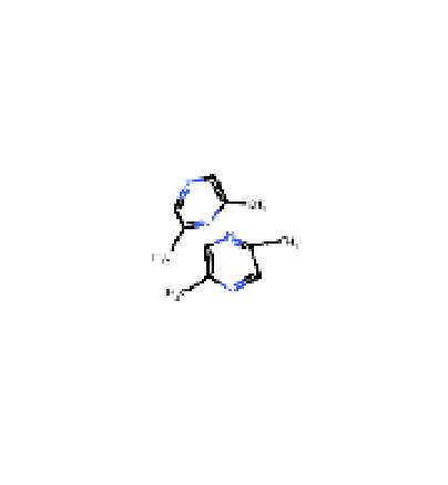 Cc1cnc(C)cn1.Cc1cncc(C)n1